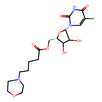 O=C(CCCCN1CCOCC1)OC[C@@H]1O[C@H](n2cc(F)c(=O)[nH]c2=O)C(O)C1O